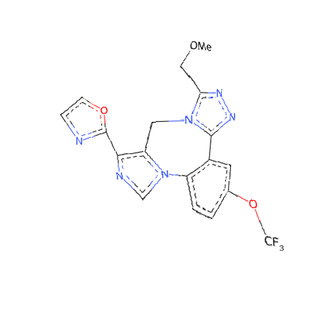 COCc1nnc2n1Cc1c(-c3ncco3)ncn1-c1ccc(OC(F)(F)F)cc1-2